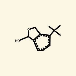 CC(C)(C)c1cccc2c1COC2O